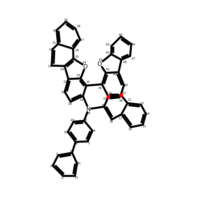 c1ccc(-c2ccc(N(c3ccc4ccccc4c3)c3ccc4c(oc5c6ccccc6ccc45)c3-c3cccc4c3oc3ccccc34)cc2)cc1